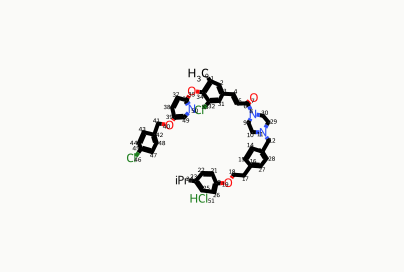 Cc1cc(/C=C/C(=O)N2CCN(Cc3ccc(CCOc4ccc(C(C)C)cc4)cc3)CC2)cc(Cl)c1Oc1ccc(OCc2ccc(Cl)cc2)cn1.Cl